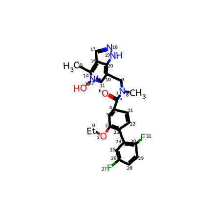 CCOc1cc(C(=O)N(C)Cc2c[n+](O)c(C)c3cn[nH]c23)ccc1-c1cc(F)ccc1F